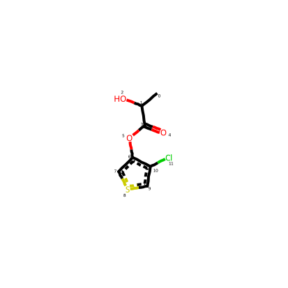 CC(O)C(=O)Oc1cscc1Cl